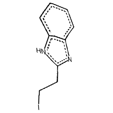 ICCc1nc2ccccc2[nH]1